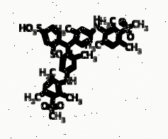 Cc1cc(Nc2c(C)cc(C)c(S(C)(=O)=O)c2C)ccc1C(c1ccc(Nc2c(C)cc(C)c(S(C)(=O)=O)c2C)cc1C)c1ccc(S(=O)(=O)O)cc1S(=O)(=O)O